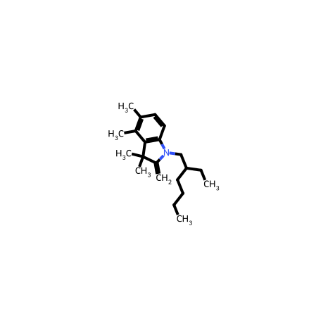 C=C1N(CC(CC)CCCC)c2ccc(C)c(C)c2C1(C)C